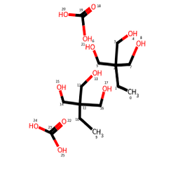 CCC(CO)(CO)CO.CCC(CO)(CO)CO.O=C(O)O.O=C(O)O